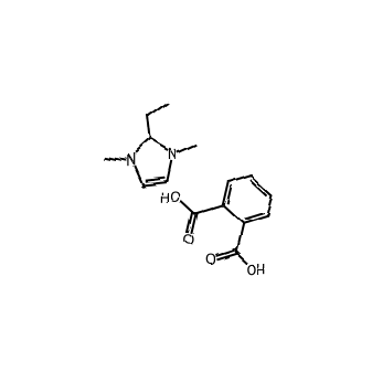 CCC1N(C)C=CN1C.O=C(O)c1ccccc1C(=O)O